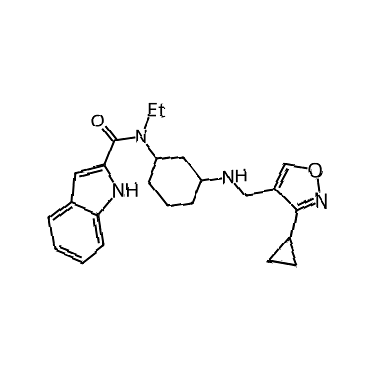 CCN(C(=O)c1cc2ccccc2[nH]1)C1CCCC(NCc2conc2C2CC2)C1